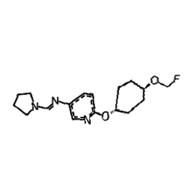 FCO[C@H]1CC[C@H](Oc2ccc(/N=C/N3CCCC3)cn2)CC1